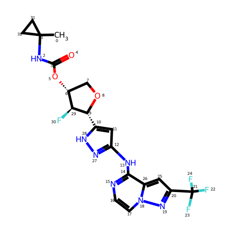 CC1(NC(=O)O[C@@H]2CO[C@H](c3cc(Nc4nccn5nc(C(F)(F)F)cc45)n[nH]3)[C@H]2F)CC1